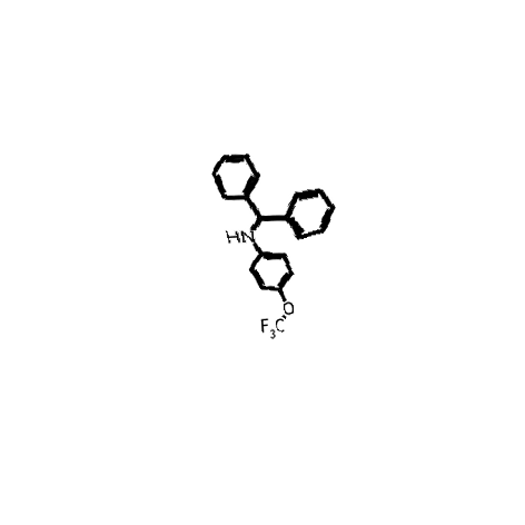 FC(F)(F)Oc1ccc(NC(c2ccccc2)c2ccccc2)cc1